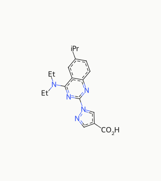 CCN(CC)c1nc(-n2cc(C(=O)O)cn2)nc2ccc(C(C)C)cc12